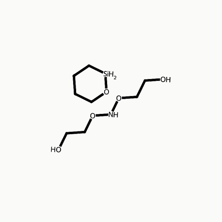 C1CC[SiH2]OC1.OCCONOCCO